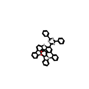 c1ccc(-c2nc(-c3ccccc3)nc(-c3cc(-c4ccccc4-n4c5ccccc5c5ccccc54)cc4c3sc3ccc5c6ccccc6oc5c34)n2)cc1